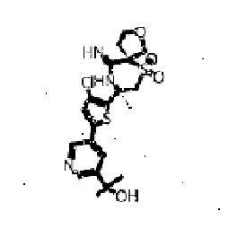 CC(C)(O)c1cncc(-c2cc(Cl)c([C@]3(C)CS(=O)(=O)[C@]4(CCOC4)C(=N)N3)s2)c1